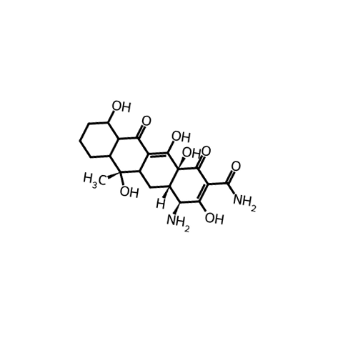 C[C@]1(O)C2C[C@H]3[C@H](N)C(O)=C(C(N)=O)C(=O)[C@@]3(O)C(O)=C2C(=O)C2C(O)CCCC21